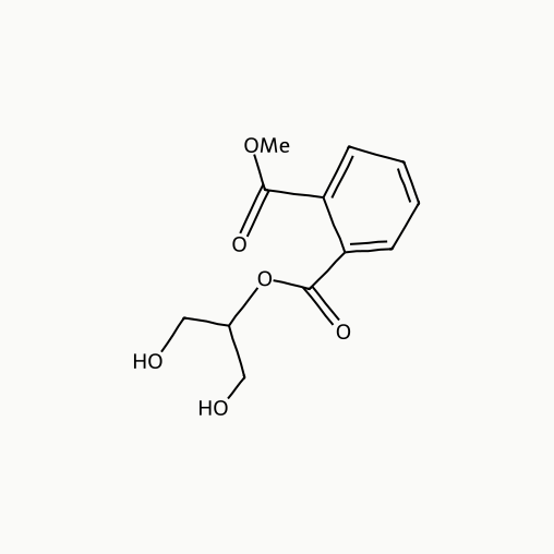 COC(=O)c1ccccc1C(=O)OC(CO)CO